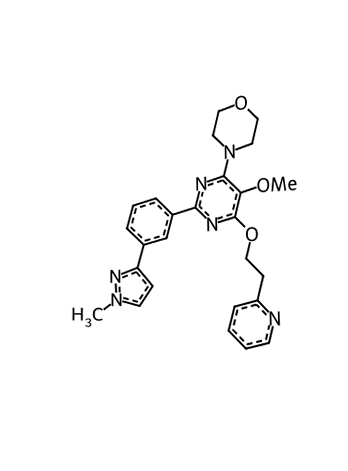 COc1c(OCCc2ccccn2)nc(-c2cccc(-c3ccn(C)n3)c2)nc1N1CCOCC1